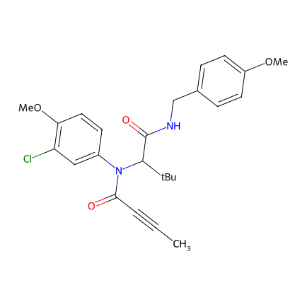 CC#CC(=O)N(c1ccc(OC)c(Cl)c1)C(C(=O)NCc1ccc(OC)cc1)C(C)(C)C